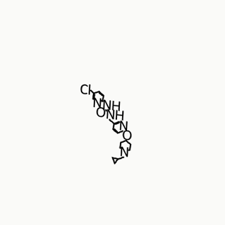 O=C(NCc1ccc(OC2CCN(CC3CC3)CC2)nc1)Nc1ccc(Cl)cn1